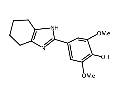 COc1cc(-c2nc3c([nH]2)CCCC3)cc(OC)c1O